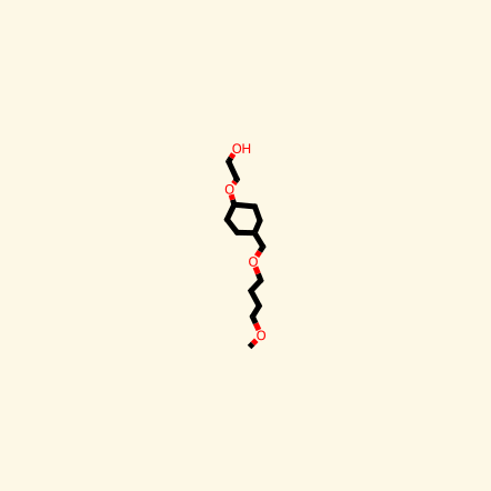 COCCCCOCC1CCC(OCCO)CC1